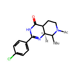 CCCCC1[C@H]2N=C(c3ccc(Cl)cc3)NC(=O)C2CCN1C(C)=O